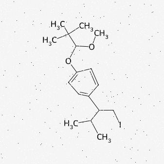 COC(Oc1ccc(C(CI)C(C)C)cc1)C(C)(C)C